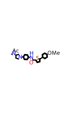 COc1ccc(-c2ccc(C(=O)Nc3ccc(N4CCC(N(C)C(C)=O)C4)cc3)s2)cc1